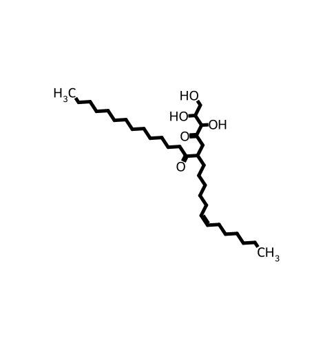 CCCCCC/C=C\CCCCCC(CC(=O)C(O)C(O)CO)C(=O)CCCCCCCCCCCCC